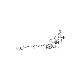 CCCCCCSCCCCCCC[C@](C)(O)C(=O)Nc1ccc(C#N)c(C(F)(F)F)c1